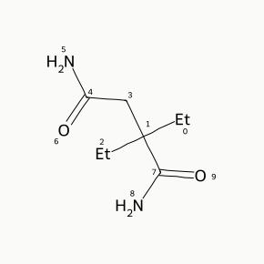 CCC(CC)(CC(N)=O)C(N)=O